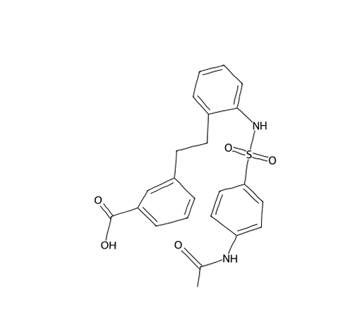 CC(=O)Nc1ccc(S(=O)(=O)Nc2ccccc2CCc2cccc(C(=O)O)c2)cc1